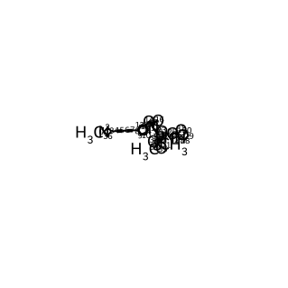 CN1CC(C#CC#Cc2ccc3c(c2)oc(=O)n3CC[C@](C)(C(=O)NOC2CCCCO2)S(C)(=O)=O)C1